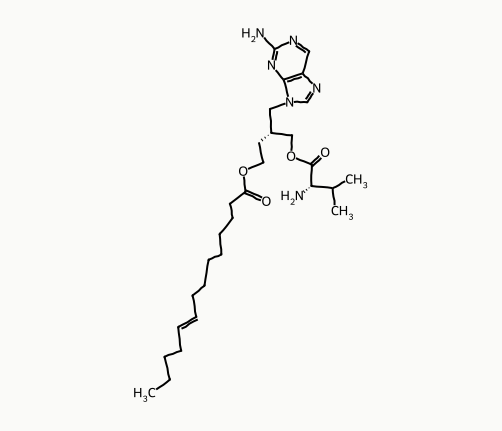 CCCCC=CCCCCCCCC(=O)OCC[C@@H](COC(=O)[C@@H](N)C(C)C)Cn1cnc2cnc(N)nc21